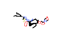 C=C/C=C\C(=C/C=C)c1csc(NC(=O)C2=CCC(C)(OCC(=O)N3CCOCC3)CC(CC)=C2)n1